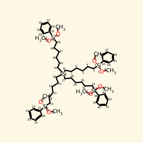 CO[Si](CCCCCC[Si](CCCCCC[Si](OC)(OC)c1ccccc1)(CCCCCC[Si](OC)(OC)c1ccccc1)CCCCCC[Si](OC)(OC)c1ccccc1)(OC)c1ccccc1